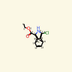 CCOC(=O)c1[nH]c(Cl)c2c1C1C=CC2CC1